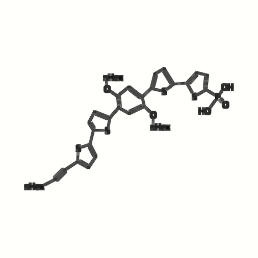 CCCCCCC#Cc1ccc(-c2ccc(-c3cc(OCCCCCC)c(-c4ccc(-c5ccc(P(=O)(O)O)s5)s4)cc3OCCCCCC)s2)s1